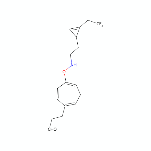 O=CCCC1=CCC=C(ONCCC2C=C2CC(F)(F)F)C=C1